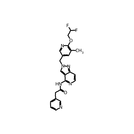 Cc1cc(Cn2cc3c(NC(=O)Cc4cccnc4)nccc3n2)cnc1OCC(F)F